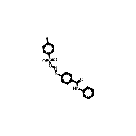 Cc1ccc(S(=O)(=O)ON=Nc2ccc(C(=O)Nc3ccccc3)cc2)cc1